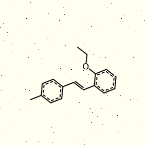 CCOc1ccccc1C=Cc1ccc(C)cc1